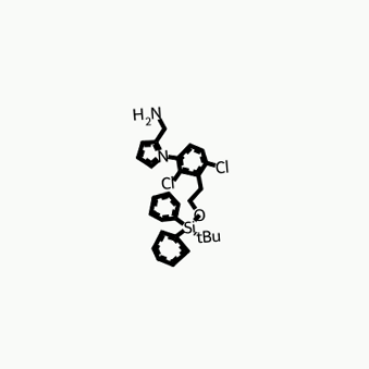 CC(C)(C)[Si](OCCc1c(Cl)ccc(-n2cccc2CN)c1Cl)(c1ccccc1)c1ccccc1